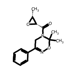 C[C@H]1O[C@H]1C(=O)N1CC(c2ccccc2)=NOC1(C)C